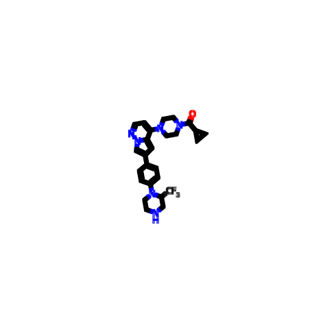 O=C(C1CC1)N1CCN(c2ccnn3cc(-c4ccc(N5CCNCC5C(F)(F)F)cc4)cc23)CC1